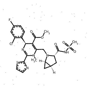 COC(=O)C1=C(CN2[C@@H]3C[C@@H]3C[C@H]2C(=O)NS(C)(=O)=O)N(C)C(c2nccs2)=N[C@H]1c1ccc(F)cc1Cl